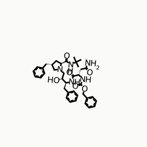 CC(C)(C)NC(=O)[C@@H]1C[C@@H](Cc2ccccc2)CN1C[C@@H](O)[C@H](Cc1ccccc1)NC(=O)[C@H](CC(N)=O)NC(=O)OCc1ccccc1